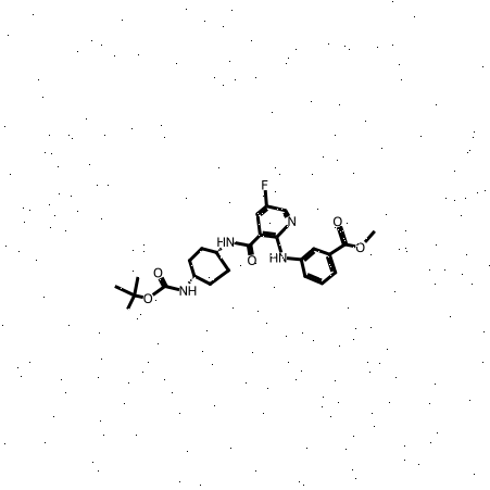 COC(=O)c1cccc(Nc2ncc(F)cc2C(=O)N[C@H]2CC[C@@H](NC(=O)OC(C)(C)C)CC2)c1